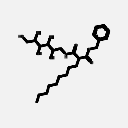 CCCCCCCCCC(C(=O)NCC(O)C(O)C(O)C(O)CO)C(=O)OCc1ccccc1